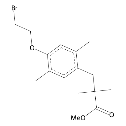 COC(=O)C(C)(C)Cc1cc(C)c(OCCBr)cc1C